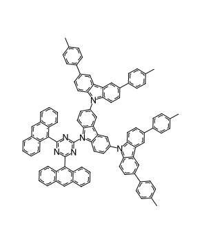 Cc1ccc(-c2ccc3c(c2)c2cc(-c4ccc(C)cc4)ccc2n3-c2ccc3c(c2)c2cc(-n4c5ccc(-c6ccc(C)cc6)cc5c5cc(-c6ccc(C)cc6)ccc54)ccc2n3-c2nc(-c3c4ccccc4cc4ccccc34)nc(-c3c4ccccc4cc4ccccc34)n2)cc1